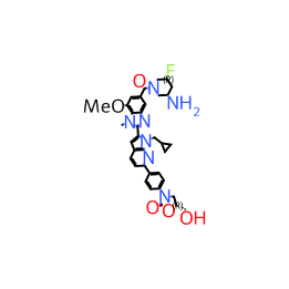 COc1cc(C(=O)N2CC(N)C[C@@H](F)C2)cc2nc(-c3cc4ccc(-c5ccc(N6C[C@H](CO)OC6=O)cc5)nc4n3CC3CC3)n(C)c12